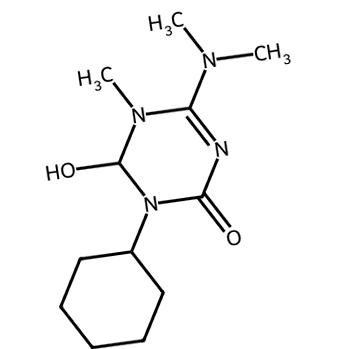 CN(C)C1=NC(=O)N(C2CCCCC2)C(O)N1C